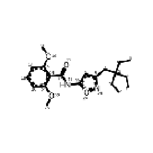 CCC(CC)(CC)Cc1cc(NC(=O)c2c(OC)cccc2OC)on1